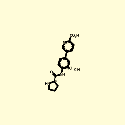 Cl.Cl.O=C(O)c1ccc(-c2ccc(NC(=O)[C@H]3CCCN3)cc2)cn1